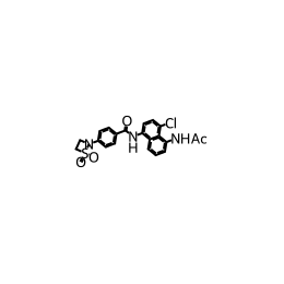 CC(=O)Nc1cccc2c(NC(=O)c3ccc(N4CCS4(=O)=O)cc3)ccc(Cl)c12